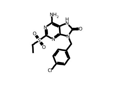 CCS(=O)(=O)c1nc(N)c2[nH]c(=O)n(Cc3ccc(Cl)cc3)c2n1